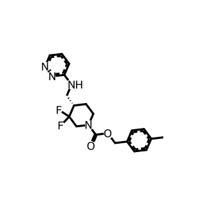 Cc1ccc(COC(=O)N2CC[C@@H](CNc3cccnn3)C(F)(F)C2)cc1